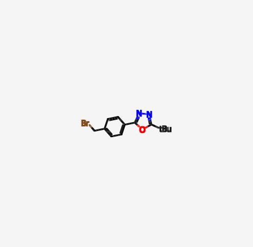 CC(C)(C)c1nnc(-c2ccc(CBr)cc2)o1